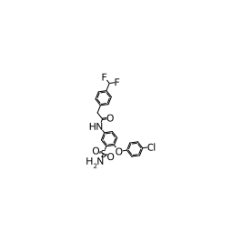 NS(=O)(=O)c1cc(NC(=O)Cc2ccc(C(F)F)cc2)ccc1Oc1ccc(Cl)cc1